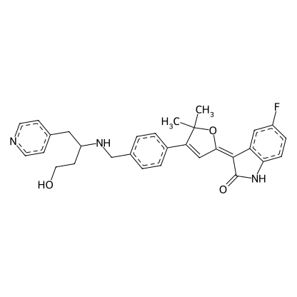 CC1(C)O/C(=C2/C(=O)Nc3ccc(F)cc32)C=C1c1ccc(CNC(CCO)Cc2ccncc2)cc1